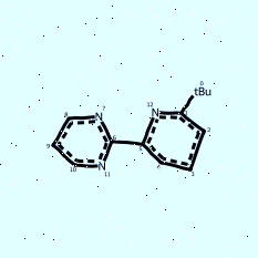 CC(C)(C)c1cccc(-c2ncccn2)n1